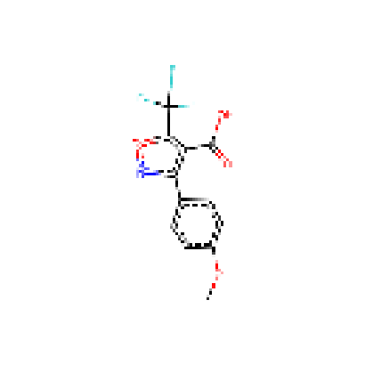 COc1ccc(-c2noc(C(F)(F)F)c2C(=O)O)cc1